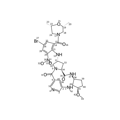 CNc1cncc(C(=O)N2C[C@H](Nc3c(C(=O)N4C[C@@H](C)O[C@@H](C)C4)cc(Br)cc3[N+](=O)[O-])C[C@H]2C(=O)N[C@H]2CC[C@@H](OC)C2)c1